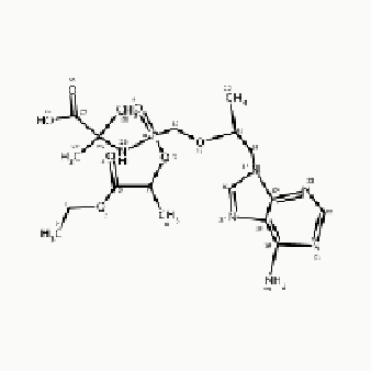 CCOC(=O)C(C)OP(=O)(COC(C)Cn1cnc2c(N)ncnc21)NC(C)(C)C(=O)O